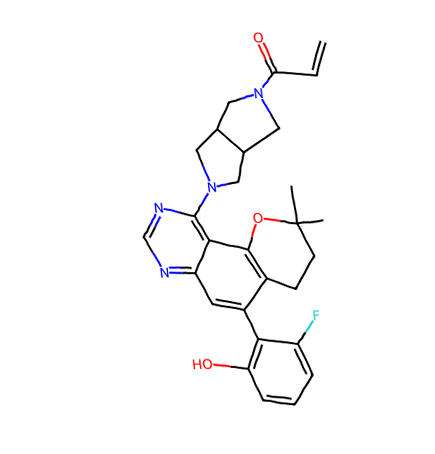 C=CC(=O)N1CC2CN(c3ncnc4cc(-c5c(O)cccc5F)c5c(c34)OC(C)(C)CC5)CC2C1